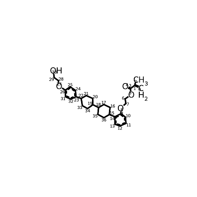 C=C(C)C(=O)OCCOc1ccccc1C1CCC(C2CCC(c3ccc(OCCO)cc3)CC2)CC1